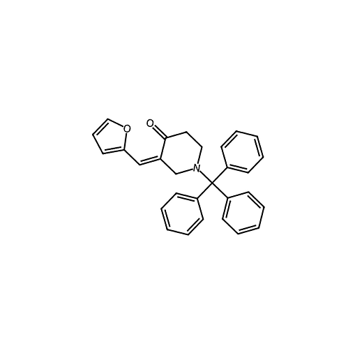 O=C1CCN(C(c2ccccc2)(c2ccccc2)c2ccccc2)CC1=Cc1ccco1